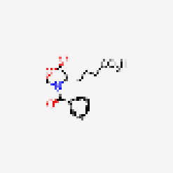 O=C(O)CCCC1C(=O)OCN1C(=O)c1ccccc1